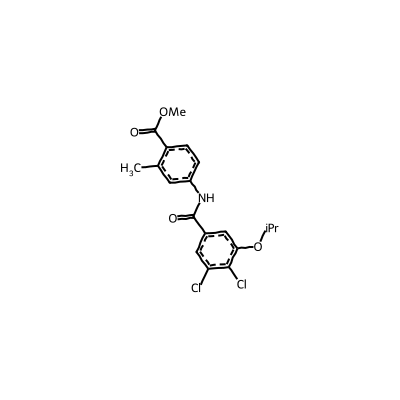 COC(=O)c1ccc(NC(=O)c2cc(Cl)c(Cl)c(OC(C)C)c2)cc1C